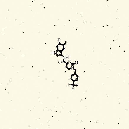 O=C(Nc1c[nH]c2cc(F)c(F)cc12)c1ccn(Cc2ccc(C(F)(F)F)cc2)c(=O)n1